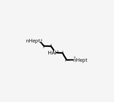 CCCCCCCC[CH2][AlH][CH2]CCCCCCCC